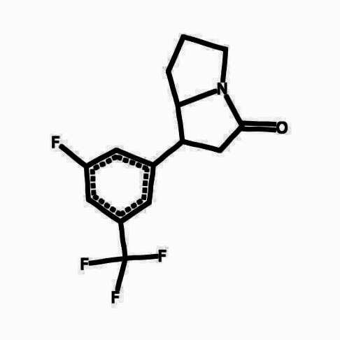 O=C1CC(c2cc(F)cc(C(F)(F)F)c2)C2CCCN12